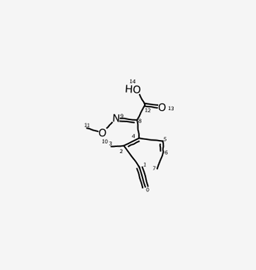 C#C/C(C)=C(\C=C/C)C(=N\OC)/C(=O)O